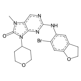 Cn1c(=O)n(C2CCOCC2)c2nc(Nc3cc4c(cc3Br)OCC4)ncc21